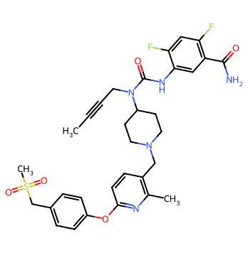 CC#CCN(C(=O)Nc1cc(C(N)=O)c(F)cc1F)C1CCN(Cc2ccc(Oc3ccc(CS(C)(=O)=O)cc3)nc2C)CC1